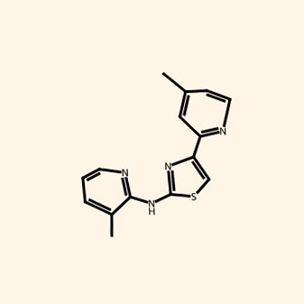 Cc1ccnc(-c2csc(Nc3ncccc3C)n2)c1